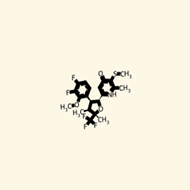 COc1c([C@H]2[C@H](c3cc(=O)c(SC)c(C)[nH]3)O[C@@](C)(C(F)(F)F)[C@H]2C)ccc(F)c1F